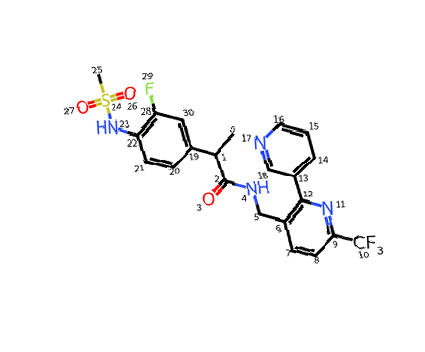 CC(C(=O)NCc1ccc(C(F)(F)F)nc1-c1cccnc1)c1ccc(NS(C)(=O)=O)c(F)c1